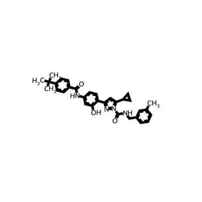 Cc1cccc(CNC(=O)n2nc(-c3ccc(NC(=O)c4ccc(C(C)(C)C)cc4)cc3O)cc2C2CC2)c1